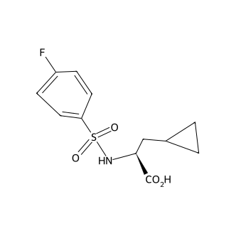 O=C(O)[C@H](CC1CC1)NS(=O)(=O)c1ccc(F)cc1